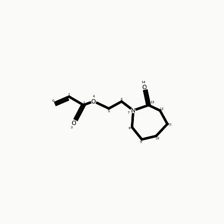 C=CC(=O)OCCN1CCCCCC1=O